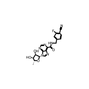 C[C@H]1O[C@@H](n2cnc3c(C(=O)NCc4ccc(C#N)c(F)c4)ncnc32)[C@H](O)[C@@H]1O